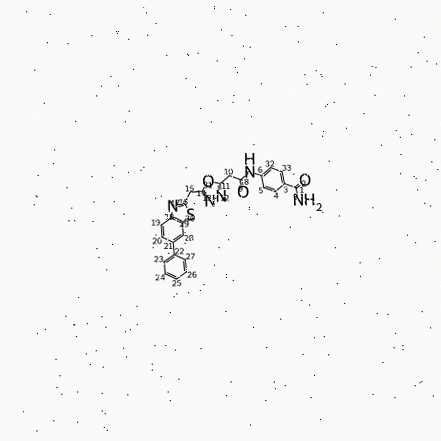 NC(=O)c1ccc(NC(=O)Cc2nnc(Cc3nc4ccc(-c5ccccc5)cc4s3)o2)cc1